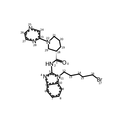 O=C(Nc1nc2ccccc2n1CCCCCBr)[C@H]1CCCN(c2cnccn2)C1